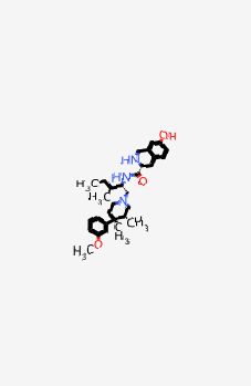 CC[C@H](C)[C@@H](CN1CC[C@@](C)(c2cccc(OC)c2)[C@@H](C)C1)NC(=O)[C@H]1Cc2ccc(O)cc2CN1